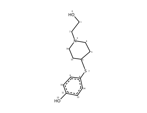 OCCN1CCC(Sc2ccc(O)cc2)CC1